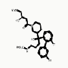 CCc1cccc(-c2c(F)cccc2C(O)(CCCNC(=O)O)C2CCCN(C(=O)C[C@@H](O)CNC)C2)c1